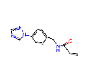 C=CC(=O)NCc1ccc(-n2cncn2)cc1